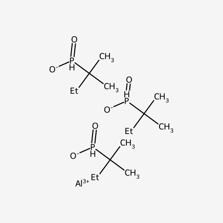 CCC(C)(C)[PH](=O)[O-].CCC(C)(C)[PH](=O)[O-].CCC(C)(C)[PH](=O)[O-].[Al+3]